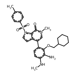 CNc1ccc(-c2cn(C)c(=O)c3c2ccn3S(=O)(=O)c2ccc(C)cc2)c(OCC2CCCCC2)c1N